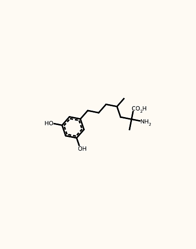 CC(CCCc1cc(O)cc(O)c1)CC(C)(N)C(=O)O